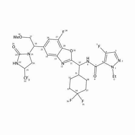 CCn1ncc(F)c1C(=O)NC(c1nc2cc(C(COC)N3CC(C(F)(F)F)NC3=O)cc(F)c2o1)C1CCC(F)(F)CC1